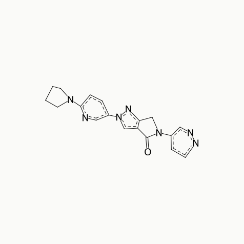 O=C1c2cn(-c3ccc(N4CCCC4)nc3)nc2CN1c1ccnnc1